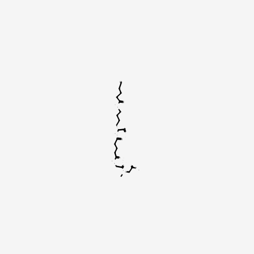 C[C@H](NC(=O)CCCC(=O)N[C@@H](CCCCNC(=O)CCCC=O)C(=O)O)C(=O)N(C)[C@@H](C)C(N)=O